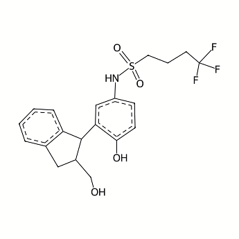 O=S(=O)(CCCC(F)(F)F)Nc1ccc(O)c(C2c3ccccc3CC2CO)c1